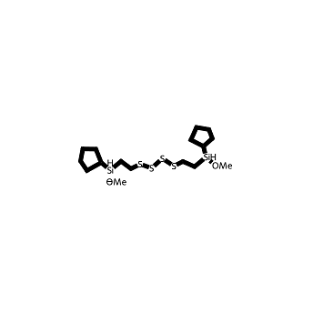 CO[SiH](CCSSSSCC[SiH](OC)C1CCCC1)C1CCCC1